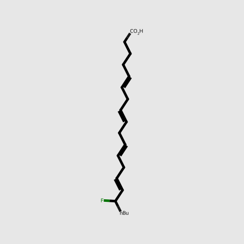 CCCCC(F)C=CCC=CCC=CCC=CCCCC(=O)O